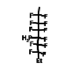 CCC(F)(F)C(F)(F)C(F)(P)C(F)(F)C(F)(F)C(C)(F)F